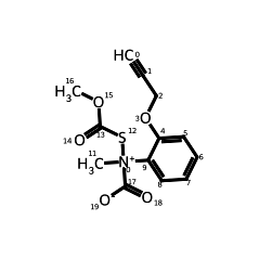 C#CCOc1ccccc1[N+](C)(SC(=O)OC)C(=O)[O-]